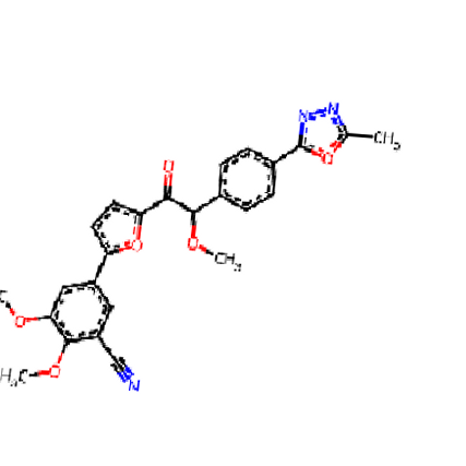 COc1cc(-c2ccc(C(=O)C(OC)c3ccc(-c4nnc(C)o4)cc3)o2)cc(C#N)c1OC